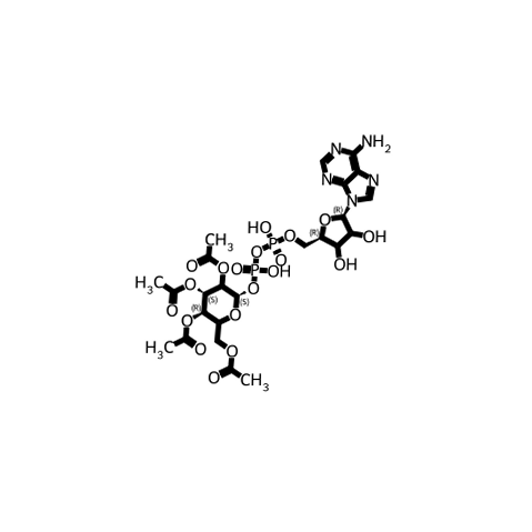 CC(=O)OCC1O[C@@H](OP(=O)(O)OP(=O)(O)OC[C@H]2O[C@@H](n3cnc4c(N)ncnc43)C(O)C2O)C(OC(C)=O)[C@@H](OC(C)=O)[C@@H]1OC(C)=O